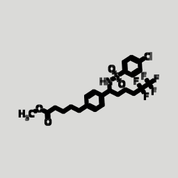 COC(=O)CCCCc1ccc(C(CCCC(F)(F)C(F)(F)F)NS(=O)(=O)c2ccc(Cl)cc2)cc1